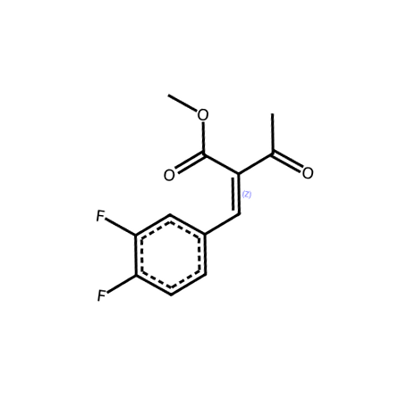 COC(=O)/C(=C\c1ccc(F)c(F)c1)C(C)=O